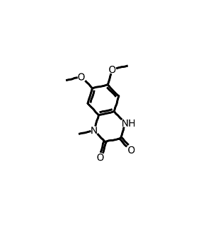 COc1cc2[nH]c(=O)c(=O)n(C)c2cc1OC